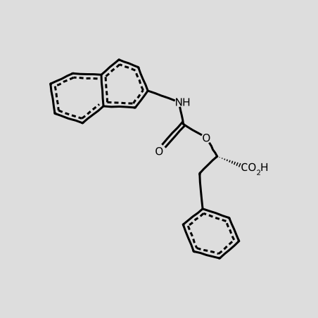 O=C(Nc1ccc2ccccc2c1)O[C@@H](Cc1ccccc1)C(=O)O